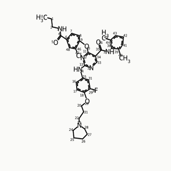 CCCNC(=O)c1ccc(Oc2nc(Nc3ccc(OCCCN4CCCCC4)c(F)c3)ncc2C(=O)Nc2c(C)cccc2C)c(Cl)c1